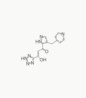 O=C(C=C(O)c1nn[nH]n1)c1[nH]ncc1Cc1ccncc1